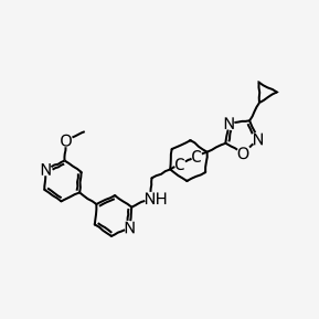 COc1cc(-c2ccnc(NCC34CCC(c5nc(C6CC6)no5)(CC3)CC4)c2)ccn1